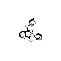 O=C(On1ccnc1)c1cccnc1C(=O)On1ccnc1